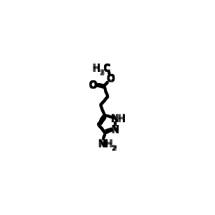 COC(=O)CCc1cc(N)n[nH]1